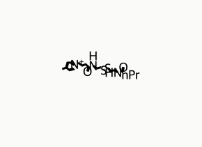 CCCC(=O)NCCSSCCNC(=O)CCC[n+]1ccc(C)cc1